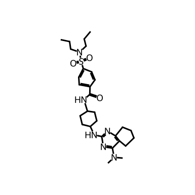 CCCN(CCC)S(=O)(=O)c1ccc(C(=O)NC2CCC(Nc3nc4c(c(N(C)C)n3)CCCC4)CC2)cc1